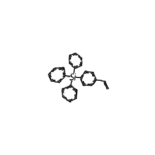 C=Cc1ccc([Si](c2ccccc2)(c2ccccc2)c2ccccc2)cc1